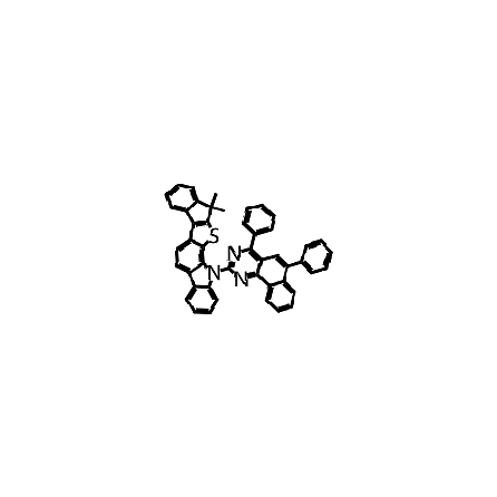 CC1(C)c2ccccc2-c2c1sc1c2ccc2c3ccccc3n(-c3nc(-c4ccccc4)c4cc(-c5ccccc5)c5ccccc5c4n3)c21